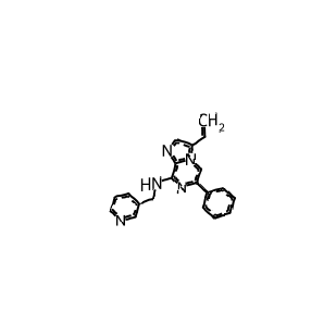 C=Cc1cnc2c(NCc3cccnc3)nc(-c3ccccc3)cn12